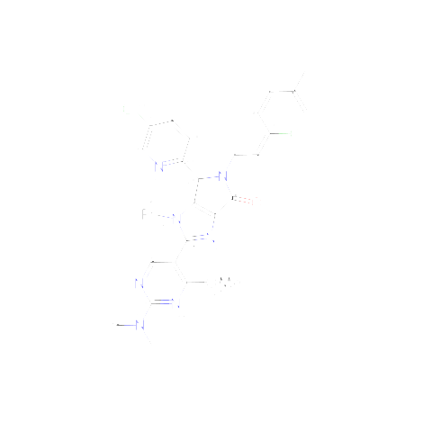 C=C(C)/C=C\C(Cl)=C/CN1C(=O)c2nc(-c3cnc(N(C)C)nc3OC)n(C(C)C)c2C1c1ccc(Cl)cn1